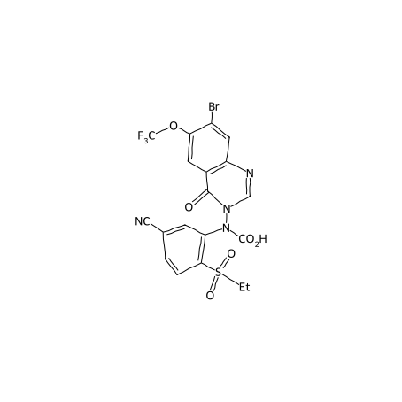 CCS(=O)(=O)c1ccc(C#N)cc1N(C(=O)O)n1cnc2cc(Br)c(OC(F)(F)F)cc2c1=O